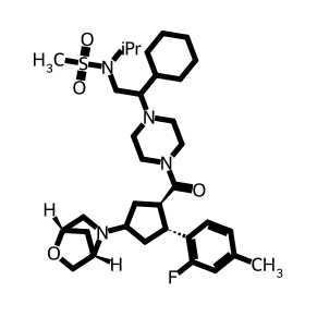 Cc1ccc([C@@H]2CC(N3C[C@@H]4C[C@H]3CO4)C[C@H]2C(=O)N2CCN(C(CN(C(C)C)S(C)(=O)=O)C3CCCCC3)CC2)c(F)c1